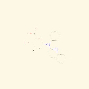 COC(=O)[C@H]1O[C@@H](N(c2ccccc2)c2ccc3ccccc3n2)C[C@@H](C)[C@@H]1O